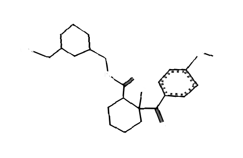 COc1ccc(C(=O)C2(O)CCCCC2C(=O)NCC2CCCC(CN)C2)cc1